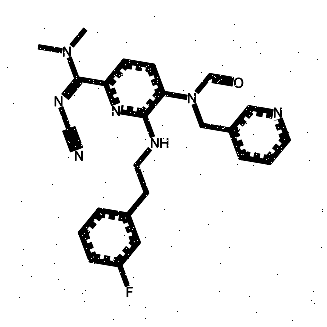 CN(C)/C(=N/C#N)c1ccc(N(C=O)Cc2cccnc2)c(NCCc2cccc(F)c2)n1